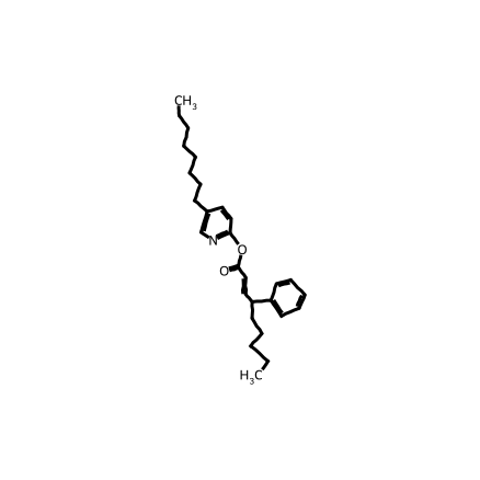 CCCCCCCCc1ccc(OC(=O)/C=C/C(CCCCC)c2ccccc2)nc1